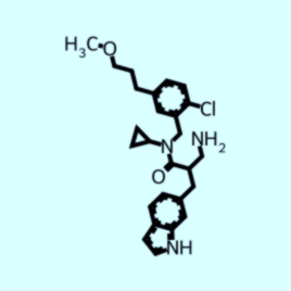 COCCCc1ccc(Cl)c(CN(C(=O)C(CN)Cc2ccc3cc[nH]c3c2)C2CC2)c1